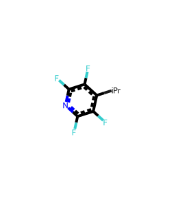 CC(C)c1c(F)c(F)nc(F)c1F